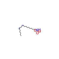 CCCCC/C=C\C/C=C\CCCCCCCCONC(=O)OC